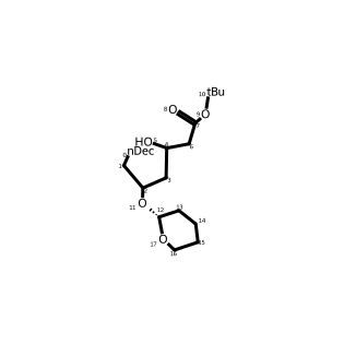 CCCCCCCCCCCC(CC(O)CC(=O)OC(C)(C)C)O[C@@H]1CCCCO1